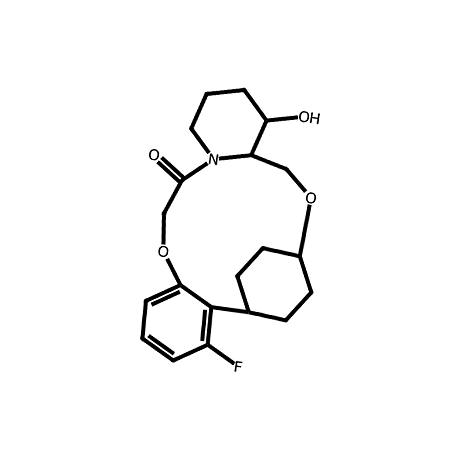 O=C1COc2cccc(F)c2C2CCC(CC2)OCC2C(O)CCCN12